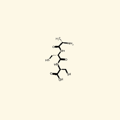 C[C@H](N)C(=O)N[C@@H](CS)C(=O)N[C@@H](CS)C(=O)O